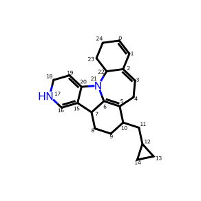 C1=CC2=CCC3=C4C(CCC3CC3CC3)C3=CNCC=C3N4C2CC1